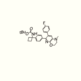 CN1CCOc2nc(-c3ccc(C4(NC(=O)OC(C)(C)C)CCC4)cc3)c(-c3ccc(F)cc3)cc21